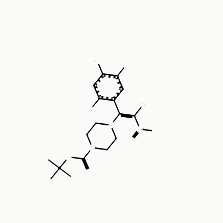 CC(C)(C)OC(=O)N1CCN(/C(=C(/N)[N+](=O)[O-])c2cc(Cl)c(Br)cc2N)CC1